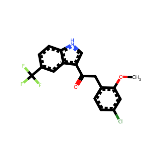 COc1cc(Cl)ccc1CC(=O)c1c[nH]c2ccc(C(F)(F)F)cc12